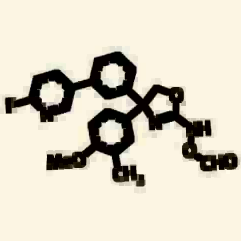 COc1ccc(C2(c3cccc(-c4ccc(F)nc4)c3)COC(NOC=O)=N2)cc1C